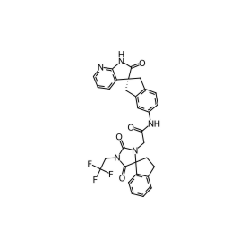 O=C(CN1C(=O)N(CC(F)(F)F)C(=O)C12CCc1ccccc12)Nc1ccc2c(c1)C[C@@]1(C2)C(=O)Nc2ncccc21